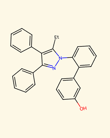 CCc1c(-c2ccccc2)c(-c2ccccc2)nn1-c1ccccc1-c1cccc(O)c1